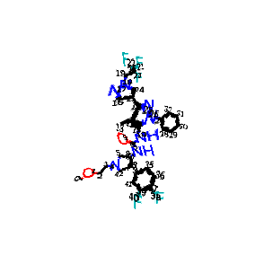 COCCN1C[C@@H](NC(=O)Nc2c(C)c(-c3cnn(CC(F)(F)F)c3)nn2-c2ccccc2)[C@H](c2ccc(F)c(F)c2)C1